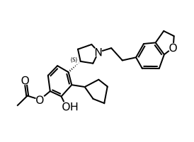 CC(=O)Oc1ccc([C@@H]2CCN(CCc3ccc4c(c3)CCO4)C2)c(C2CCCC2)c1O